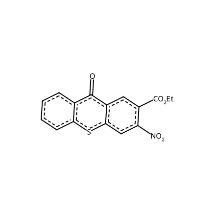 CCOC(=O)c1cc2c(=O)c3ccccc3sc2cc1[N+](=O)[O-]